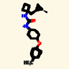 C[C@H]1CC1CC1(NC(=O)NC2CCC(Oc3ccc(C(=O)O)cc3)CC2)CCC1